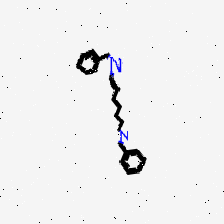 C(=N/CCCCCCC/N=C/c1ccccc1)/c1ccccc1